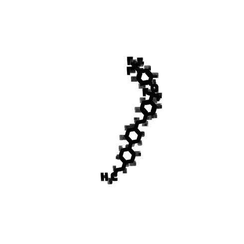 CCCC1CCC(C2CCC(CCc3ccc(C(F)(F)Oc4ccc(C(F)(F)F)cc4)cc3)CC2)CC1